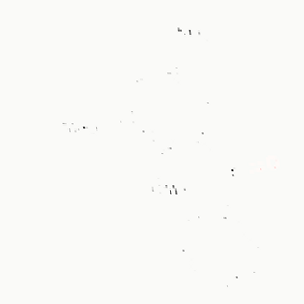 COc1cc([N+](=O)[O-])cc(C(=O)c2ccccc2)c1OC